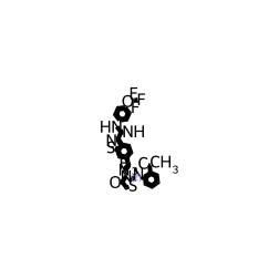 CC(C)c1ccccc1/N=C1\SCC(=O)N1N=Cc1ccc2c(C(=N)Nc3ccc(OC(F)(F)F)cc3)nsc2c1